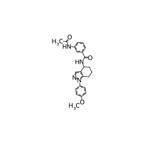 COc1ccc(-n2ncc3c2CCCC3NC(=O)c2cccc(NC(C)=O)c2)cc1